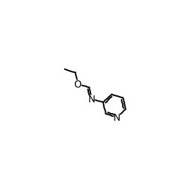 CCOC=Nc1cccnc1